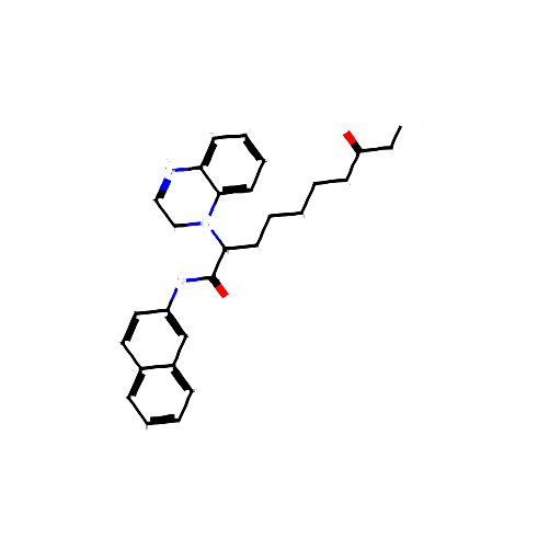 CCC(=O)CCCCCC(C(=O)Nc1ccc2ccccc2c1)N1CC=Nc2ccccc21